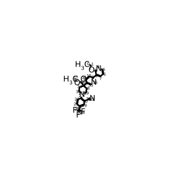 CCOc1ncccc1-c1ccc(C2(C(=O)OC)CCN(c3ccc(C(F)(F)F)cc3C#N)CC2)cn1